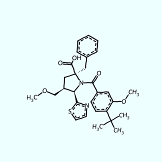 COC[C@H]1C[C@@](Cc2ccccc2)(C(=O)O)N(C(=O)c2ccc(C(C)(C)C)c(OC)c2)[C@H]1c1nccs1